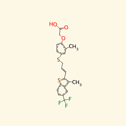 Cc1cc(SC/C=C/c2sc3ccc(C(F)(F)F)cc3c2C)ccc1OCC(=O)O